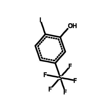 Oc1cc(S(F)(F)(F)(F)F)ccc1I